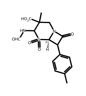 Cc1ccc(C2C(=O)N3CC(C)(C(=O)O)C(NC=O)S(=O)(=O)[C@H]23)cc1